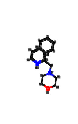 [c]1cccc2c(CN3CCOCC3)nccc12